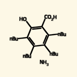 CCCCc1c(O)c(C(=O)O)c(CCCC)c(CCCC)c1CCCC.N